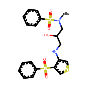 CCCCN(CC(O)CNc1cscc1S(=O)(=O)c1ccccc1)S(=O)(=O)c1ccccc1